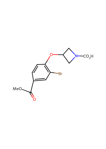 COC(=O)c1ccc(OC2CN(C(=O)O)C2)c(Br)c1